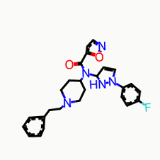 O=C(c1ccno1)N(C1CCN(CCc2ccccc2)CC1)C1C=CN(c2ccc(F)cc2)N1